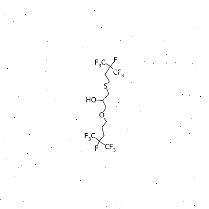 OC(COCCCC(F)(C(F)(F)F)C(F)(F)F)CSCCC(F)(C(F)(F)F)C(F)(F)F